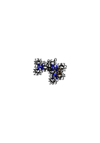 Cc1cc2c3c(c1)C(C)(C)c1cc(N(c4ccccc4)c4ccccc4)ccc1B3c1ccc(N(c3ccccc3)c3ccccc3)c3c4sc5ccccc5c4n-2c13